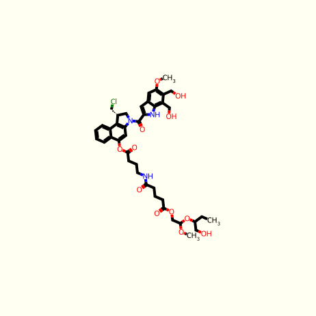 CCC(CO)OC(COC(=O)CCCC(=O)NCCCC(=O)Oc1cc2c(c3ccccc13)[C@H](CCl)CN2C(=O)c1cc2cc(OC)c(CO)c(CO)c2[nH]1)OC